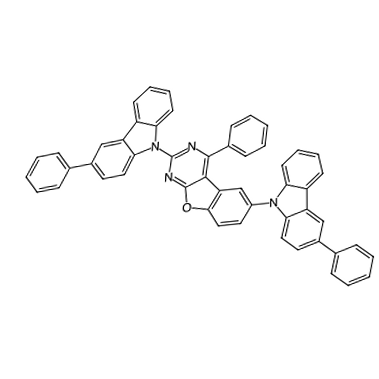 c1ccc(-c2ccc3c(c2)c2ccccc2n3-c2ccc3oc4nc(-n5c6ccccc6c6cc(-c7ccccc7)ccc65)nc(-c5ccccc5)c4c3c2)cc1